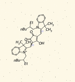 CCCCC(CC)CN1/C(=C\C2=C(O)C(=C/C3=[N+](CC(CC)CCCC)c4ccccc4C3(C)C)/C(=O)C2=O)C(C)(C)c2ccccc21